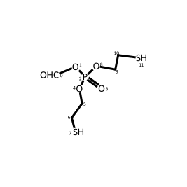 O=COP(=O)(OCCS)OCCS